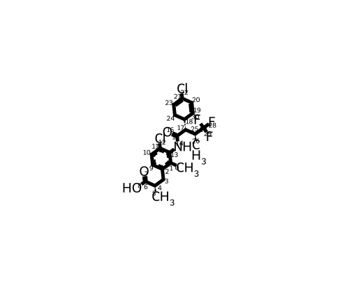 Cc1c(C[C@H](C)C(=O)O)ccc(Cl)c1NC(=O)[C@H](C1C=CC(Cl)=CC1)[C@@H](C)C(F)(F)F